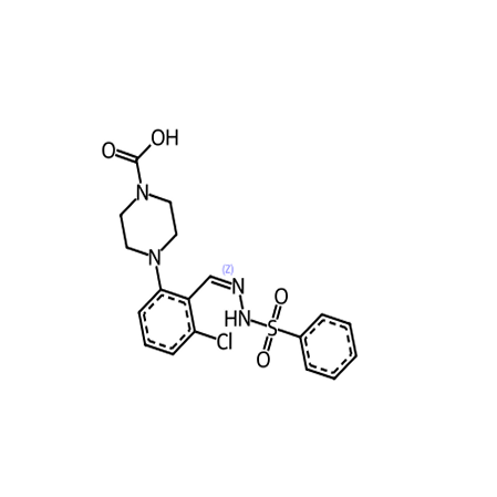 O=C(O)N1CCN(c2cccc(Cl)c2/C=N\NS(=O)(=O)c2ccccc2)CC1